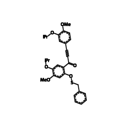 COc1ccc(C#CC(=O)c2cc(OC(C)C)c(OC)cc2OSCc2ccccc2)cc1OC(C)C